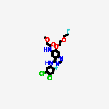 COCC(=O)Nc1cc2c(Nc3cc(Cl)c(Cl)cc3F)ncnc2cc1OCCOCCF